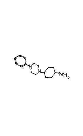 NC1CCC(N2CCN(c3ccccc3)CC2)CC1